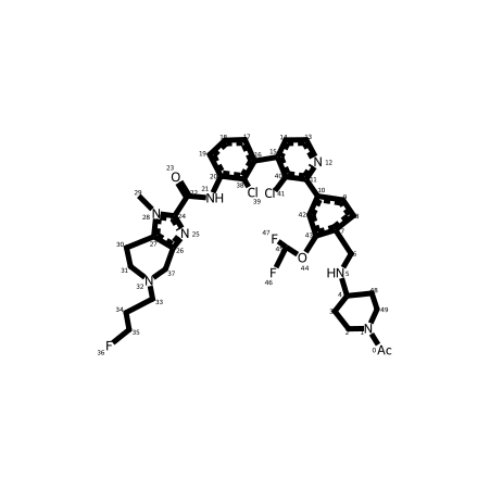 CC(=O)N1CCC(NCc2ccc(-c3nccc(-c4cccc(NC(=O)c5nc6c(n5C)CCN(CCCF)C6)c4Cl)c3Cl)cc2OC(F)F)CC1